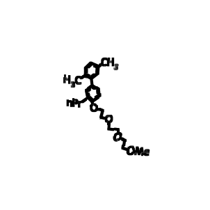 CCCc1cc(-c2cc(C)ccc2C)ccc1OCCOCCOCCOC